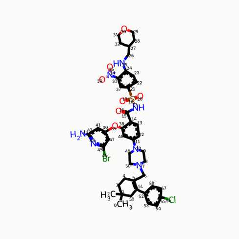 CC1(C)CCC(CN2CCN(c3ccc(C(=O)NS(=O)(=O)c4ccc(NCC5CCOCC5)c([N+](=O)[O-])c4)c(Oc4cc(N)nc(Br)c4)c3)CC2)=C(c2ccc(Cl)cc2)C1